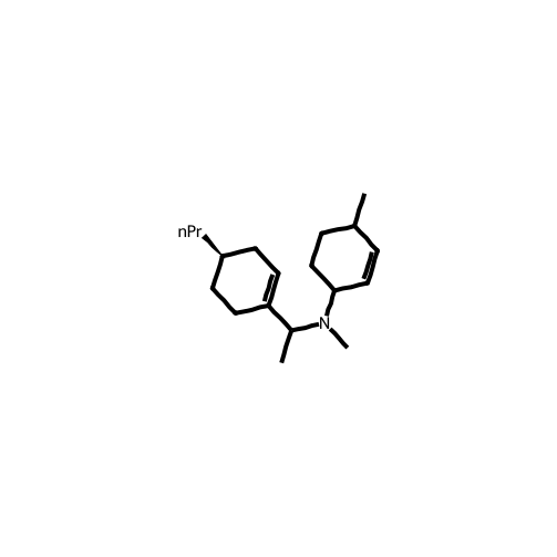 CCC[C@H]1CC=C(C(C)N(C)C2C=CC(C)CC2)CC1